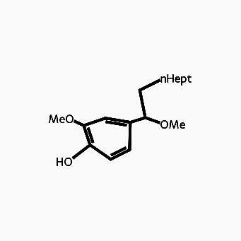 CCCCCCCCC(OC)c1ccc(O)c(OC)c1